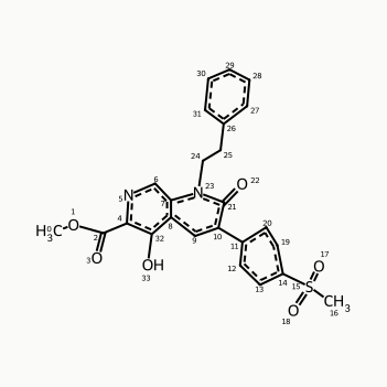 COC(=O)c1ncc2c(cc(-c3ccc(S(C)(=O)=O)cc3)c(=O)n2CCc2ccccc2)c1O